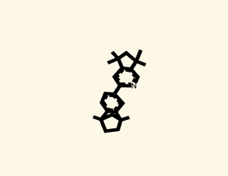 CC1(C)CC(C)(C)c2cc(-c3ccc4c(c3)C3(C)CCC4(C)C3)ncc21